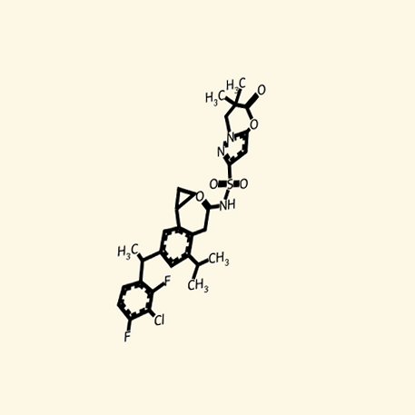 CC(C)c1cc(C(C)c2ccc(F)c(Cl)c2F)cc(C2CC2)c1CC(=O)NS(=O)(=O)c1cc2n(n1)CC(C)(C)C(=O)O2